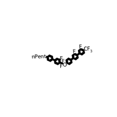 CCCCCc1ccc(-c2ccc(C(F)(F)Oc3ccc(-c4ccc(-c5ccc(C(F)(F)F)c(F)c5)c(F)c4)cc3)c(F)c2)cc1